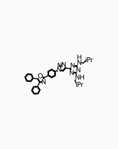 CC(C)CNc1nc(NCC(C)C)nc(-c2cn(-c3ccc(-c4nc(-c5ccccc5)c(-c5ccccc5)o4)cc3)nn2)n1